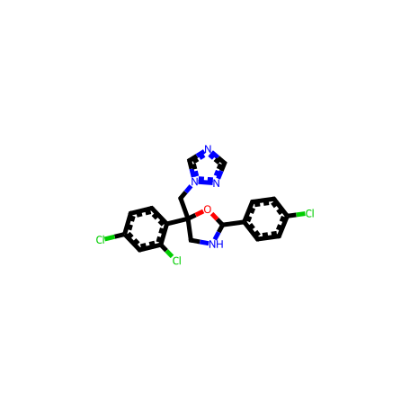 Clc1ccc(C2NCC(Cn3cncn3)(c3ccc(Cl)cc3Cl)O2)cc1